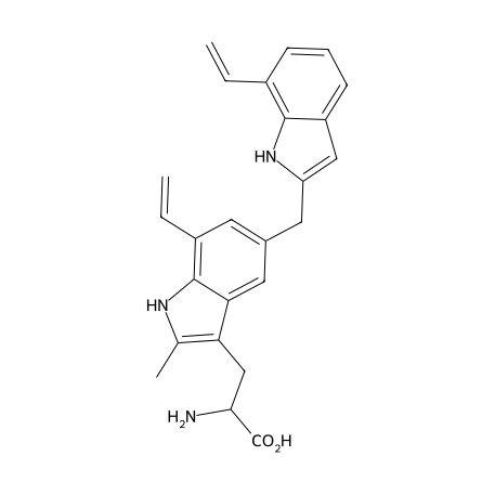 C=Cc1cccc2cc(Cc3cc(C=C)c4[nH]c(C)c(CC(N)C(=O)O)c4c3)[nH]c12